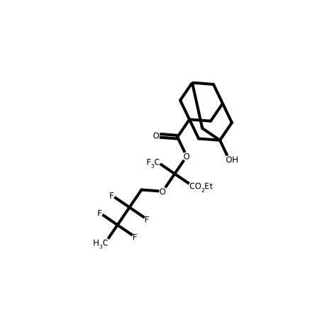 CCOC(=O)C(OCC(F)(F)C(C)(F)F)(OC(=O)C12CC3CC(CC(O)(C3)C1)C2)C(F)(F)F